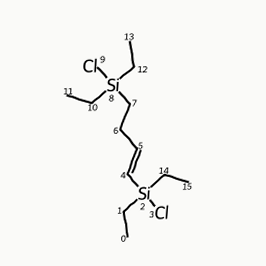 CC[Si](Cl)(C=CCC[Si](Cl)(CC)CC)CC